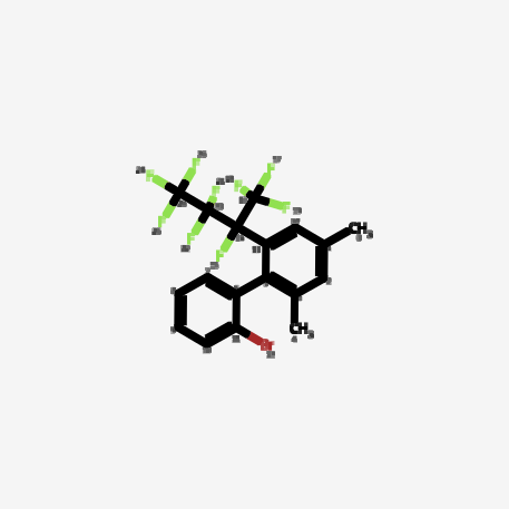 Cc1[c]c(C)c(-c2ccccc2Br)c(C(F)(C(F)(F)F)C(F)(F)C(F)(F)F)c1